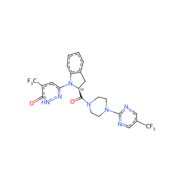 O=C([C@@H]1Cc2ccccc2N1c1cc(C(F)(F)F)c(=O)[nH]n1)N1CCN(c2ncc(C(F)(F)F)cn2)CC1